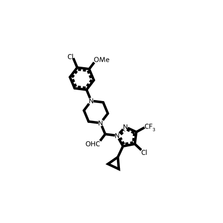 COc1cc(N2CCN(C(C=O)n3nc(C(F)(F)F)c(Cl)c3C3CC3)CC2)ccc1Cl